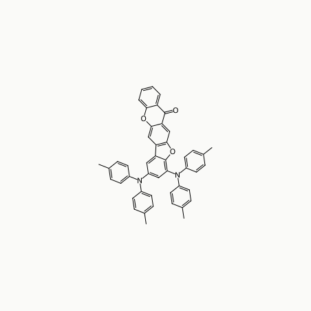 Cc1ccc(N(c2ccc(C)cc2)c2cc(N(c3ccc(C)cc3)c3ccc(C)cc3)c3oc4cc5c(=O)c6ccccc6oc5cc4c3c2)cc1